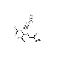 O.O.O.O.O=C([O-])COC(CC(=O)[O-])C(=O)[O-].[Na+].[Na+].[Na+]